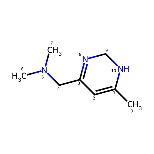 CC1=CC(CN(C)C)=NCN1